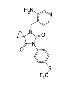 Nc1cnccc1CN1C(=O)N(c2ccc(SC(F)(F)F)cc2)C(=O)C12CC2